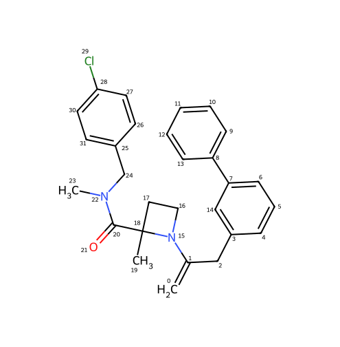 C=C(Cc1cccc(-c2ccccc2)c1)N1CCC1(C)C(=O)N(C)Cc1ccc(Cl)cc1